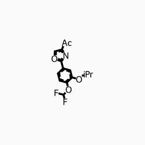 CC(=O)c1coc(-c2ccc(OC(F)F)c(OC(C)C)c2)n1